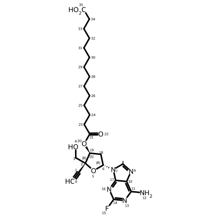 C#C[C@]1(CO)O[C@@H](n2cnc3c(N)nc(F)nc32)C[C@@H]1OC(=O)CCCCCCCCCCCCC(=O)O